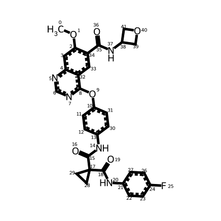 COc1cc2ncnc(Oc3ccc(NC(=O)C4(C(=O)Nc5ccc(F)cc5)CC4)cc3)c2cc1C(=O)NC1COC1